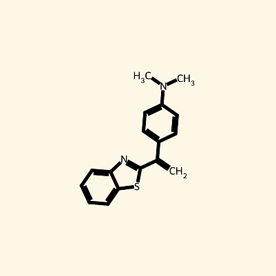 C=C(c1ccc(N(C)C)cc1)c1nc2ccccc2s1